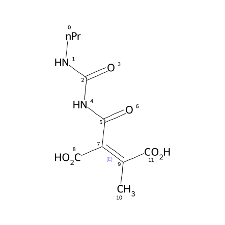 CCCNC(=O)NC(=O)/C(C(=O)O)=C(/C)C(=O)O